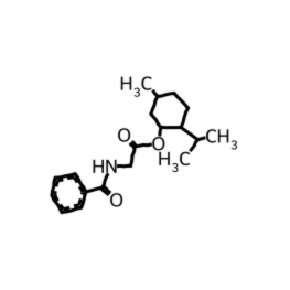 CC1CCC(C(C)C)C(OC(=O)CNC(=O)c2ccccc2)C1